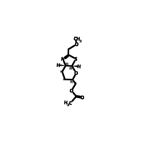 COCC1=N[C@@H]2[C][C][C@H](COC(C)=O)O[C@@H]2S1